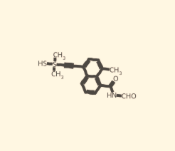 Cc1ccc(C#CS(C)(C)S)c2cccc(C(=O)NC=O)c12